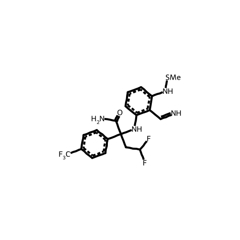 CSNc1cccc(NC(CC(F)F)(C(N)=O)c2ccc(C(F)(F)F)cc2)c1C=N